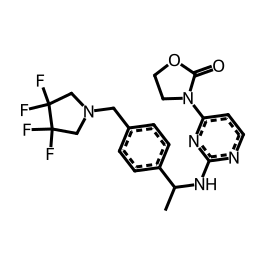 CC(Nc1nccc(N2CCOC2=O)n1)c1ccc(CN2CC(F)(F)C(F)(F)C2)cc1